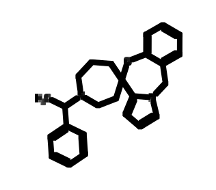 CC(c1ccccc1)N1CCCC2(CC1)Oc1ccccc1Cn1cccc12